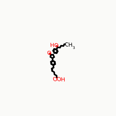 CCCCCC(O)c1ccc([C@@H]2CC(c3ccc(C/C=C\CCCC(=O)O)cc3)CC2=O)cc1